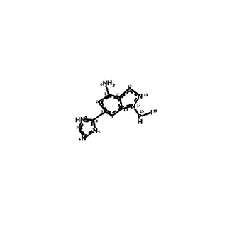 Nc1cc(-c2nnc[nH]2)cc2c1cnn2PI